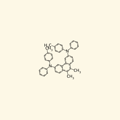 Cc1ccc(N(c2ccccc2)c2ccc3c(C)c(C)c4ccc(N(c5ccccc5)c5ccc(C)cc5)cc4c3c2)cc1